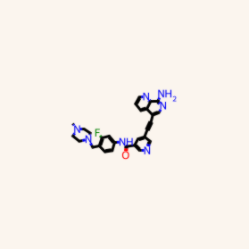 CN1CCN(Cc2ccc(NC(=O)c3cncc(C#Cc4cnc(N)c5ncccc45)c3)cc2F)CC1